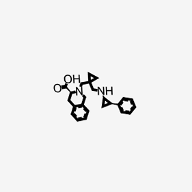 O=C(O)[C@@H]1Cc2ccccc2CN1CC1(CN[C@H]2C[C@@H]2c2ccccc2)CC1